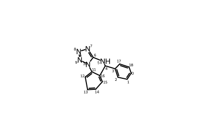 c1ccc(C2Nc3nnnn3-c3ccccc32)cc1